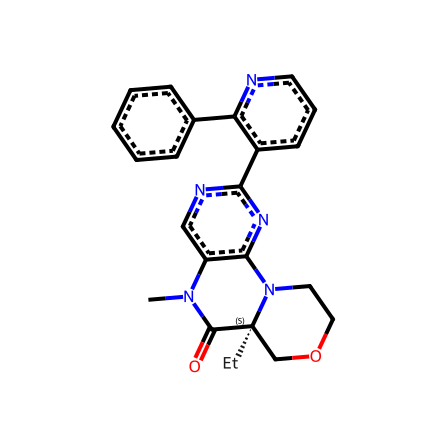 CC[C@@]12COCCN1c1nc(-c3cccnc3-c3ccccc3)ncc1N(C)C2=O